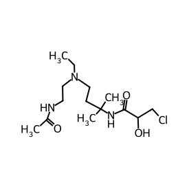 CCN(CCNC(C)=O)CCC(C)(C)NC(=O)C(O)CCl